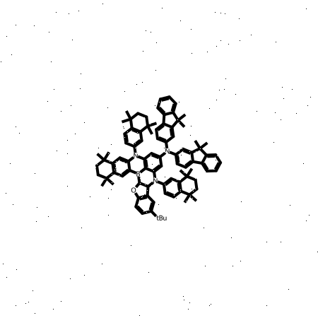 CC(C)(C)c1ccc2c(c1)C1C(O2)B2c3cc4c(cc3N(c3ccc5c(c3)C(C)(C)CCC5(C)C)c3cc(N(c5ccc6c(c5)C(C)(C)c5ccccc5-6)c5ccc6c(c5)C(C)(C)c5ccccc5-6)cc(c32)N1c1ccc2c(c1)C(C)(C)CCC2(C)C)C(C)(C)CCC4(C)C